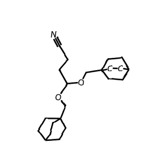 N#CCCC(OCC12CCC(CC1)CC2)OCC12CCC(CC1)CC2